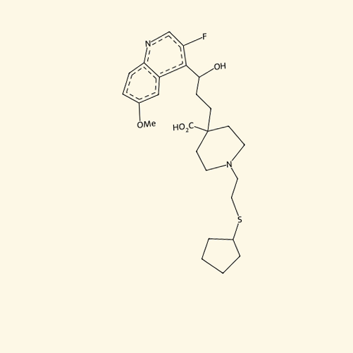 COc1ccc2ncc(F)c(C(O)CCC3(C(=O)O)CCN(CCSC4CCCC4)CC3)c2c1